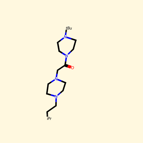 CC(C)CCN1CCN(CC(=O)N2CCN(C(C)(C)C)CC2)CC1